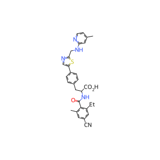 CCc1cc(C#N)cc(C)c1C(=O)NC(Cc1ccc(-c2cnc(CNc3cc(C)ccn3)s2)cc1)C(=O)O